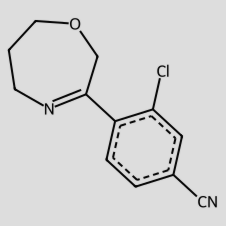 N#Cc1ccc(C2=NCCCOC2)c(Cl)c1